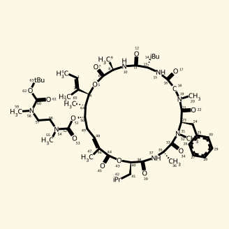 C/C=C(\C)[C@H]1OC(=O)[C@@H](C)NC(=O)[C@H](C(C)CC)NC(=O)CN(C)C(=O)[C@@H](Cc2ccccc2)N(C)C(=O)[C@H](C)NC(=O)[C@@H](CC(C)C)OC(=O)/C(C)=C/C[C@H](OC(=O)N(C)CCN(C)C(=O)OC(C)(C)C)[C@@H]1C